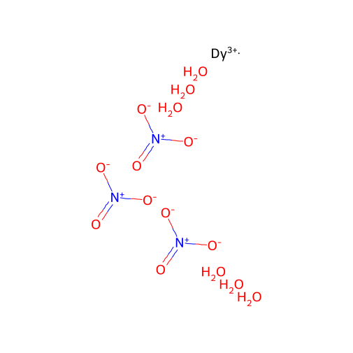 O.O.O.O.O.O.O=[N+]([O-])[O-].O=[N+]([O-])[O-].O=[N+]([O-])[O-].[Dy+3]